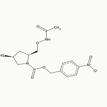 CC(=O)NOC[C@@H]1C[C@H](S)CN1C(=O)OCc1ccc([N+](=O)[O-])cc1